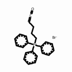 O=C=CCCC[P+](c1ccccc1)(c1ccccc1)c1ccccc1.[Br-]